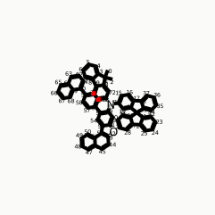 CC1(C)c2ccccc2-c2ccc(N(c3ccc4c(c3)C3(c5ccccc5-c5ccccc53)c3ccccc3-4)c3cc4oc5ccc6ccccc6c5c4cc3-c3ccc(-c4cccc5ccccc45)cc3)cc21